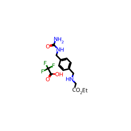 CCOC(=O)CNCc1ccc(CNC(N)=O)cc1.O=C(O)C(F)(F)F